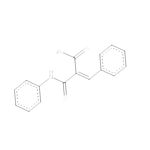 CC(C)C(=O)/C(=C\c1ccccc1)C(=O)Nc1ccccc1